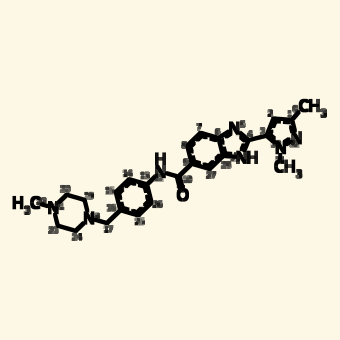 Cc1cc(-c2nc3ccc(C(=O)Nc4ccc(CN5CCN(C)CC5)cc4)cc3[nH]2)n(C)n1